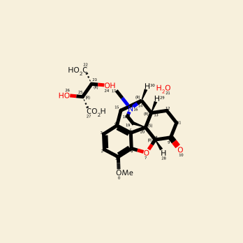 COc1ccc2c3c1O[C@H]1C(=O)CC[C@H]4[C@@H](C2)N(C)CC[C@]314.O.O=C(O)[C@H](O)[C@@H](O)C(=O)O